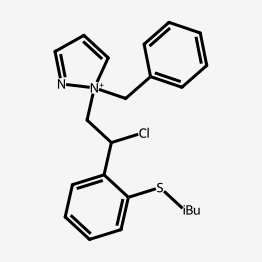 CCC(C)Sc1ccccc1C(Cl)C[N+]1(Cc2ccccc2)C=CC=N1